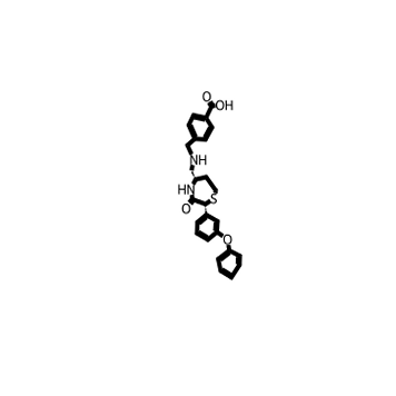 O=C(O)c1ccc(CNC[C@@H]2CCS[C@H](c3cccc(Oc4ccccc4)c3)C(=O)N2)cc1